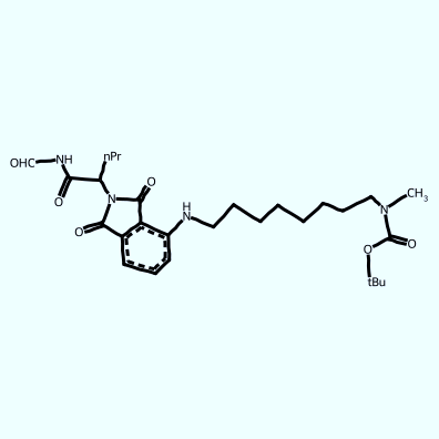 CCCC(C(=O)NC=O)N1C(=O)c2cccc(NCCCCCCCCN(C)C(=O)OC(C)(C)C)c2C1=O